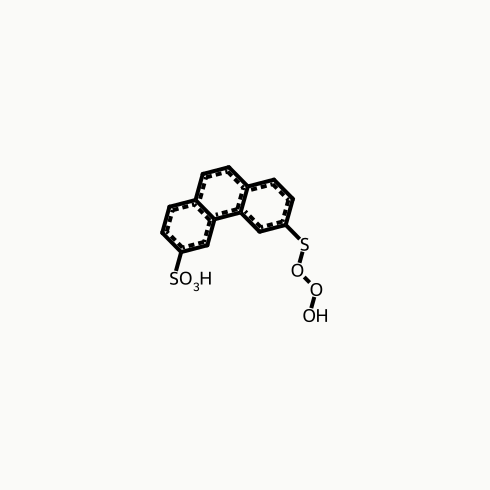 O=S(=O)(O)c1ccc2ccc3ccc(SOOO)cc3c2c1